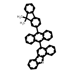 CC1(C)c2ccccc2-c2ccc(-c3c4ccccc4c(-c4cc5c6ccccc6sc5c5ccccc45)c4ccccc34)cc21